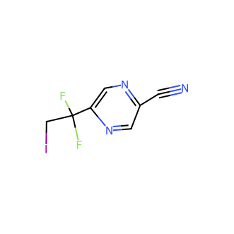 N#Cc1cnc(C(F)(F)CI)cn1